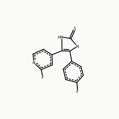 Fc1ccc(C2=C(c3ccnc(F)c3)NC(=S)[N]2)cc1